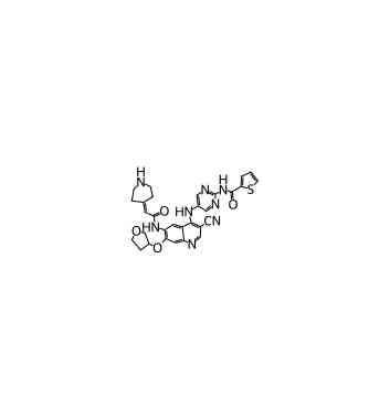 N#Cc1cnc2cc(OC3CCOC3)c(NC(=O)C=C3CCNCC3)cc2c1Nc1cnc(NC(=O)c2cccs2)nc1